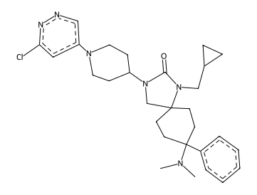 CN(C)C1(c2ccccc2)CCC2(CC1)CN(C1CCN(c3cnnc(Cl)c3)CC1)C(=O)N2CC1CC1